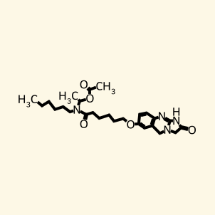 CCCCCCN(C(=O)CCCCCOc1ccc2c(c1)CN1CC(=O)NC1=N2)C(C)OC(C)=O